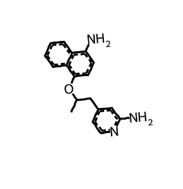 CC(Cc1ccnc(N)c1)Oc1ccc(N)c2ccccc12